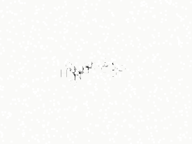 c1ccc(C2=NC(c3ccc4c(c3)oc3ccc(-c5cccc6c5sc5cccc(-n7c8ccccc8c8ccccc87)c56)cc34)NC(c3ccccc3)N2)cc1